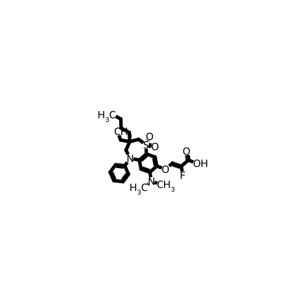 CCCCC1(CC)CN(c2ccccc2)c2cc(N(C)C)c(OC=C(F)C(=O)O)cc2S(=O)(=O)C1